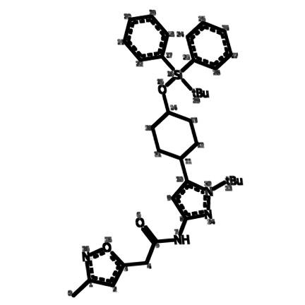 Cc1cc(CC(=O)Nc2cc(C3CCC(O[Si](c4ccccc4)(c4ccccc4)C(C)(C)C)CC3)n(C(C)(C)C)n2)on1